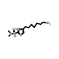 CN(C)S(=O)(=O)c1ncc(CCCCCCCN)[nH]1